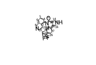 O=C(Nc1cccc2cnccc12)[C@H]1CNC[C@@H]1c1ccc(C(F)(F)F)cc1